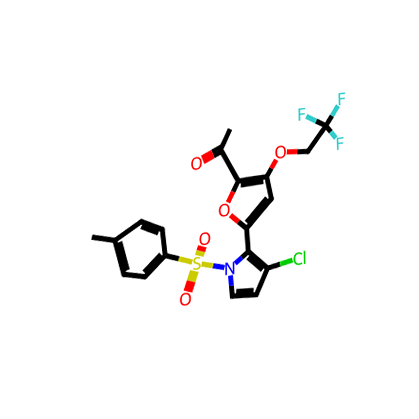 CC(=O)c1oc(-c2c(Cl)ccn2S(=O)(=O)c2ccc(C)cc2)cc1OCC(F)(F)F